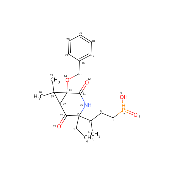 CCC1(C(C)CC[PH](=O)O)NC(=O)C2(OCc3ccccc3)C(C1=O)C2(C)C